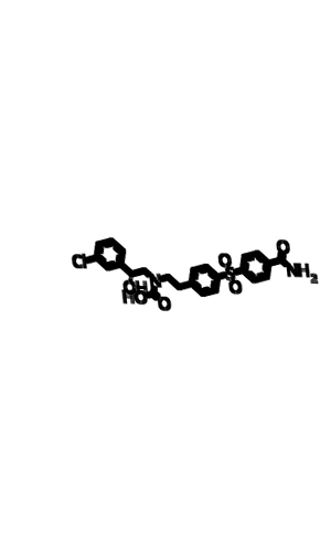 NC(=O)c1ccc(S(=O)(=O)c2ccc(CCN(C[C@H](O)c3cccc(Cl)c3)C(=O)O)cc2)cc1